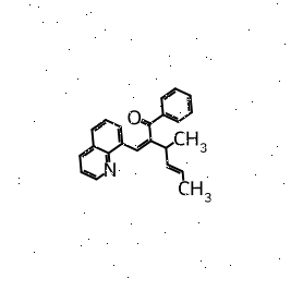 CC=CC(C)C(=Cc1cccc2cccnc12)C(=O)c1ccccc1